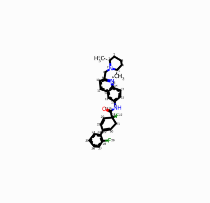 C[C@@H]1CCC[C@H](C)N1Cc1ccc2cc(NC(=O)C3(F)C=CC(c4ccccc4F)=CC3)ccc2n1